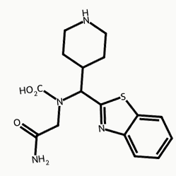 NC(=O)CN(C(=O)O)C(c1nc2ccccc2s1)C1CCNCC1